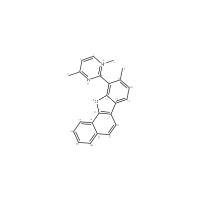 Cc1cc[n+](C)c(-c2c(C)ccc3c2oc2c4ccccc4ccc32)n1